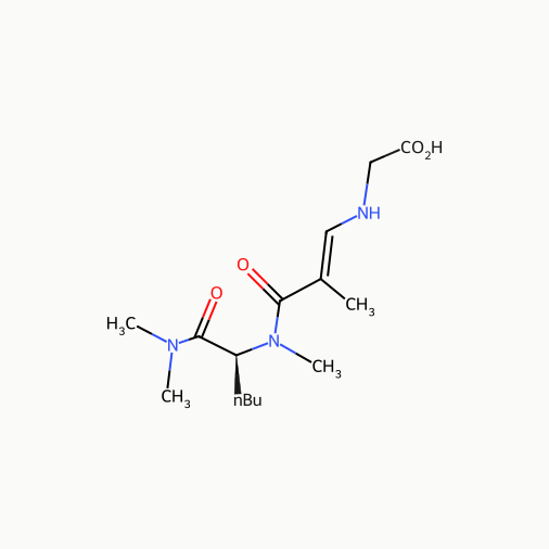 CCCC[C@@H](C(=O)N(C)C)N(C)C(=O)/C(C)=C/NCC(=O)O